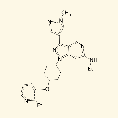 CCNc1cc2c(cn1)c(-c1cnn(C)c1)nn2C1CCC(Oc2cccnc2CC)CC1